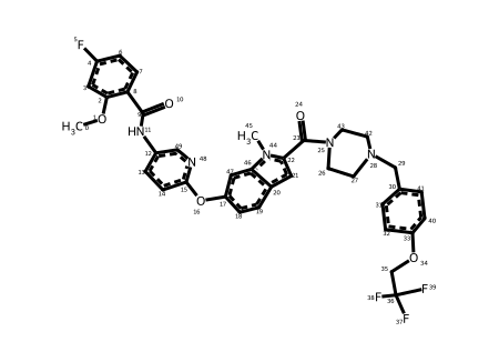 COc1cc(F)ccc1C(=O)Nc1ccc(Oc2ccc3cc(C(=O)N4CCN(Cc5ccc(OCC(F)(F)F)cc5)CC4)n(C)c3c2)nc1